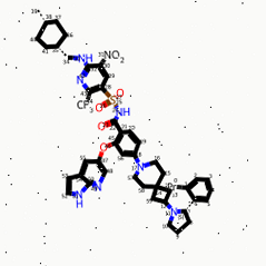 CC(C)c1ccccc1[C@@H]1CCCN1C1CC2(CCN(c3ccc(C(=O)NS(=O)(=O)c4cc([N+](=O)[O-])c(NC[C@H]5CC[C@@H](C)CC5)nc4C(F)(F)F)c(Oc4cnc5[nH]ccc5c4)c3)CC2)C1